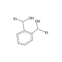 CCC(O)c1ccccc1C(O)CC